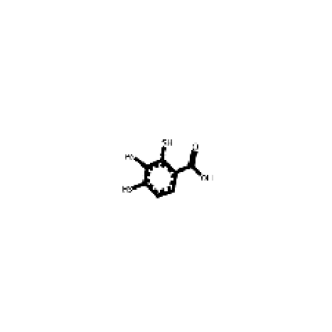 O=C(O)c1ccc(S)c(S)c1S